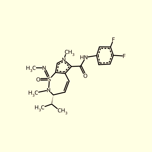 CN=S1(=O)c2cn(C)c(C(=O)Nc3ccc(F)c(F)c3)c2C=C[C@H](C(C)C)N1C